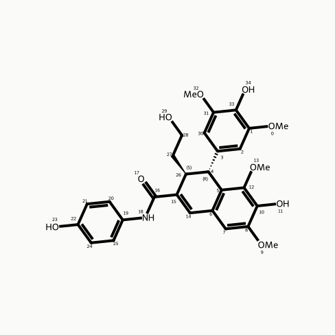 COc1cc([C@@H]2c3c(cc(OC)c(O)c3OC)C=C(C(=O)Nc3ccc(O)cc3)[C@H]2CCO)cc(OC)c1O